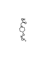 C=NOC1CCN(CC(=O)O)CC1